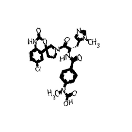 CN(C(=O)O)c1ccc(C(=O)N[C@@H](Cc2cncn2C)C(=O)N2CCC3(C2)OC(=O)Nc2ccc(Cl)cc23)cc1